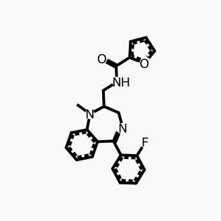 CN1c2ccccc2C(c2ccccc2F)=NCC1CNC(=O)c1ccco1